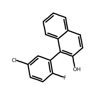 Oc1ccc2ccccc2c1-c1cc(Cl)ccc1F